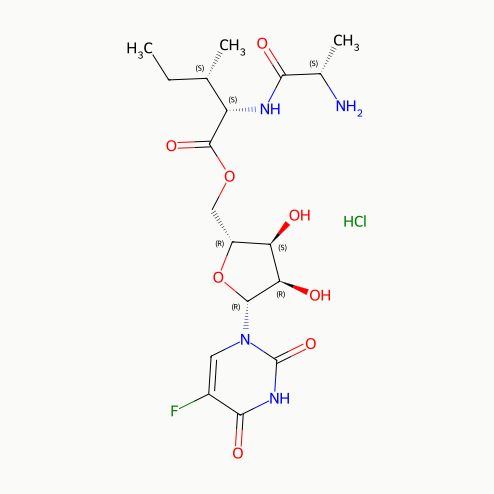 CC[C@H](C)[C@H](NC(=O)[C@H](C)N)C(=O)OC[C@H]1O[C@@H](n2cc(F)c(=O)[nH]c2=O)[C@H](O)[C@@H]1O.Cl